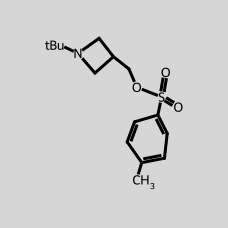 Cc1ccc(S(=O)(=O)OCC2CN(C(C)(C)C)C2)cc1